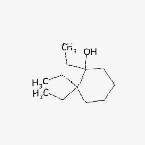 CCC1(O)CCCCC1(CC)CC